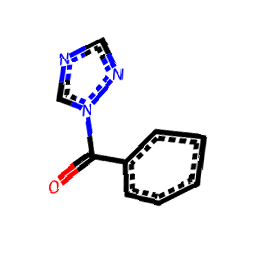 O=C(c1ccccc1)n1cncn1